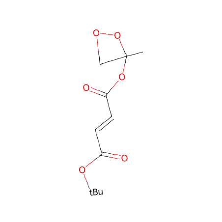 CC(C)(C)OC(=O)/C=C/C(=O)OC1(C)COO1